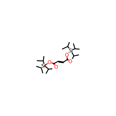 CC(C)[Si](OC(=O)C=CC(=O)O[Si](C(C)C)(C(C)C)C(C)C)(C(C)C)C(C)C